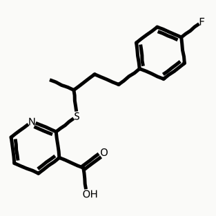 CC(CCc1ccc(F)cc1)Sc1ncccc1C(=O)O